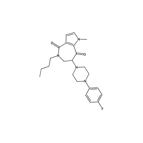 CCCCN1CC(N2CCN(c3ccc(F)cc3)CC2)C(=O)c2c(ccn2C)C1=O